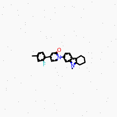 Cc1ccc(-c2ccn(-c3ccc4c5c(n(C)c4c3)CCCC5)c(=O)c2)c(F)c1